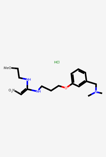 COCCN/C(=C\[N+](=O)[O-])NCCCOc1cccc(CN(C)C)c1.Cl